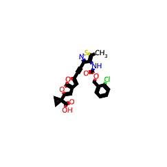 Cc1snc(C#Cc2cc3cc(C4(C(=O)O)CC4)oc3o2)c1NC(=O)OCc1ccccc1Cl